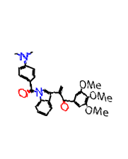 C=C(C(=O)c1cc(OC)c(OC)c(OC)c1)c1cn(C(=O)c2ccc(N(C)C)cc2)c2ccccc12